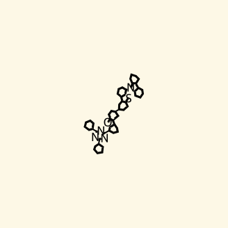 c1ccc(-c2nc(-c3ccccc3)nc(-c3cccc4c3oc3ccc(-c5ccc6sc7c(-n8c9ccccc9c9ccccc98)cccc7c6c5)cc34)n2)cc1